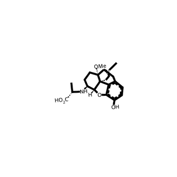 CO[C@@]12CC[C@H](N[C@@H](C)C(=O)O)[C@@H]3Oc4c(O)ccc5c4[C@@]31CCN(C)C2C5